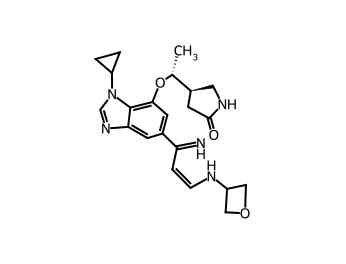 C[C@@H](Oc1cc(C(=N)/C=C\NC2COC2)cc2ncn(C3CC3)c12)[C@H]1CNC(=O)C1